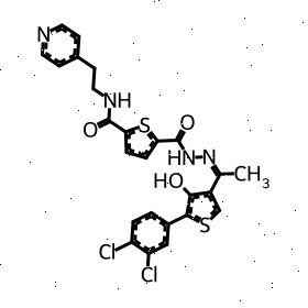 CC(=NNC(=O)c1ccc(C(=O)NCCc2ccncc2)s1)c1csc(-c2ccc(Cl)c(Cl)c2)c1O